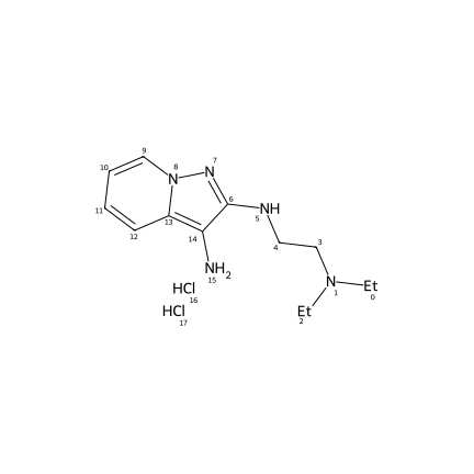 CCN(CC)CCNc1nn2ccccc2c1N.Cl.Cl